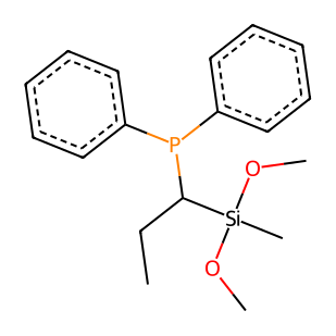 CCC(P(c1ccccc1)c1ccccc1)[Si](C)(OC)OC